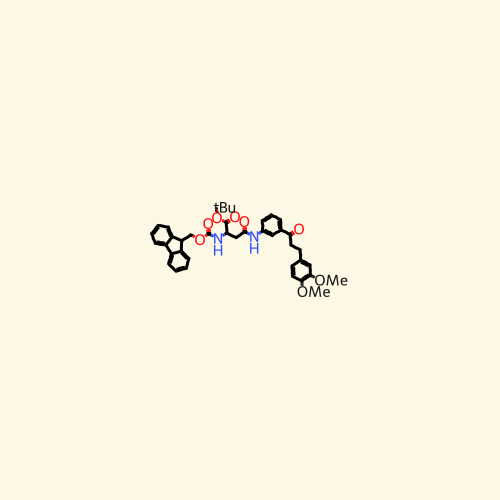 COc1ccc(CCC(=O)c2cccc(NC(=O)CC(NC(=O)OCC3c4ccccc4-c4ccccc43)C(=O)OC(C)(C)C)c2)cc1OC